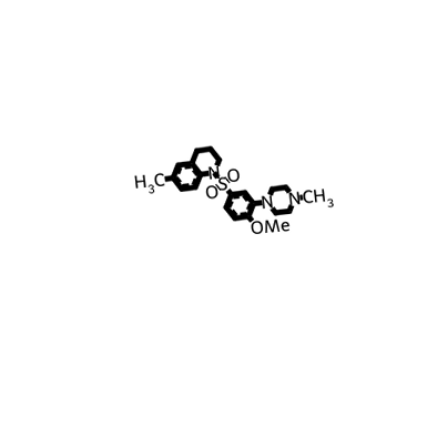 COc1ccc(S(=O)(=O)N2CCCc3cc(C)ccc32)cc1N1CCN(C)CC1